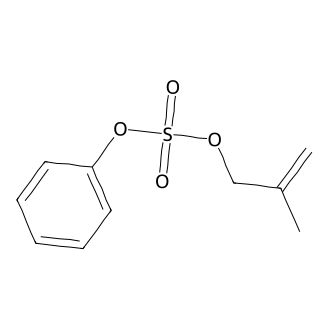 C=C(C)COS(=O)(=O)Oc1ccccc1